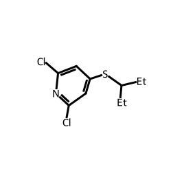 CCC(CC)Sc1cc(Cl)nc(Cl)c1